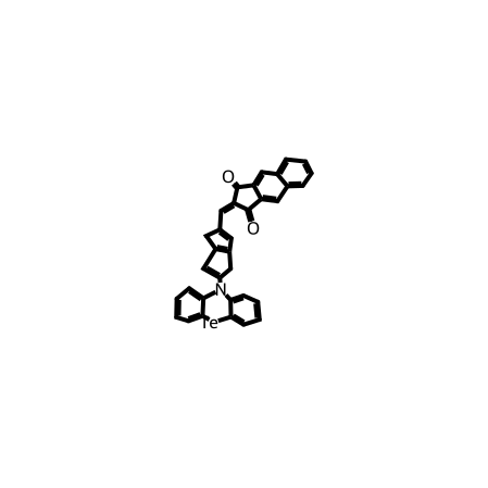 O=C1C(=CC2=CC3=C(C=C(N4c5ccccc5[Te]c5ccccc54)C3)C2)C(=O)c2cc3ccccc3cc21